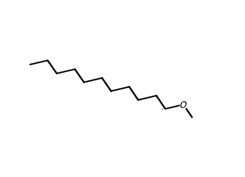 CCCCCCCCCC[CH]OC